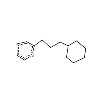 c1ccc(CCCC2CCCCC2)nc1